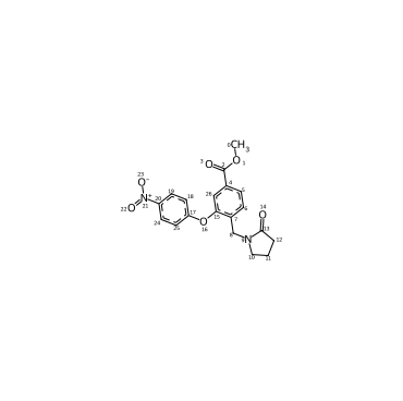 COC(=O)c1ccc(CN2CCCC2=O)c(Oc2ccc([N+](=O)[O-])cc2)c1